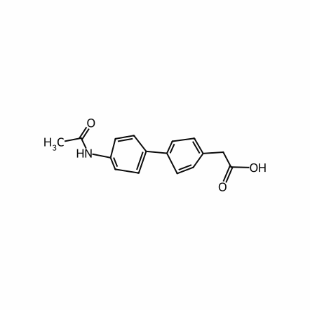 CC(=O)Nc1ccc(-c2ccc(CC(=O)O)cc2)cc1